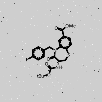 COC(=O)c1ccc2c(c1)N(Cc1ccc(F)cc1)C(=O)[C@@H](NC(=O)OC(C)(C)C)CS2